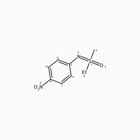 CCS(C)(=O)=Nc1ccc([N+](=O)[O-])cc1